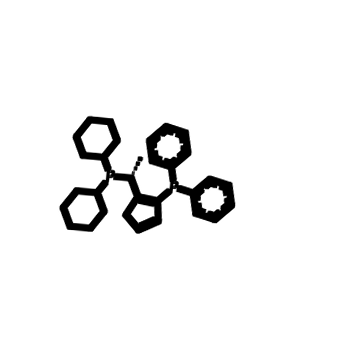 C[C@H](C1=C(P(c2ccccc2)c2ccccc2)C=CC1)P(C1CCCCC1)C1CCCCC1